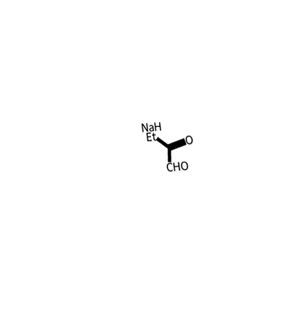 CCC(=O)C=O.[NaH]